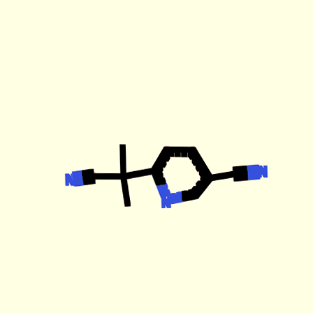 CC(C)(C#N)c1ccc(C#N)cn1